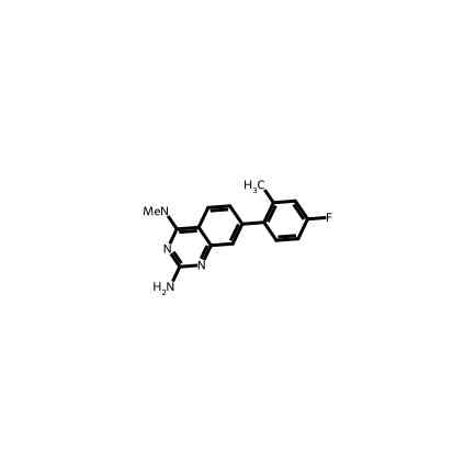 CNc1nc(N)nc2cc(-c3ccc(F)cc3C)ccc12